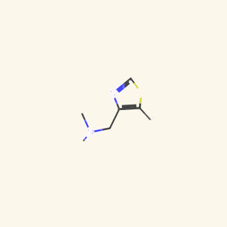 CCc1scnc1CN(C)CC